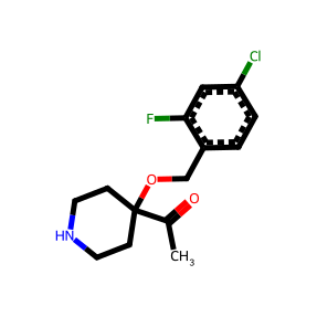 CC(=O)C1(OCc2ccc(Cl)cc2F)CCNCC1